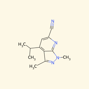 Cc1nn(C)c2nc(C#N)cc(C(C)C)c12